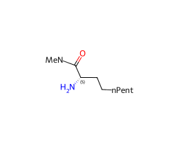 CCCCCCC[C@H](N)C(=O)NC